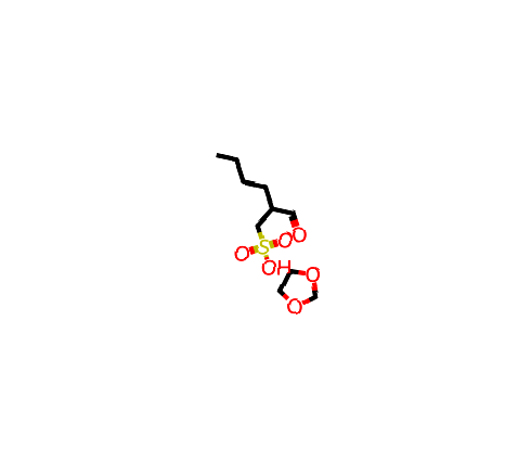 C1COCO1.CCCCC(C=O)CS(=O)(=O)O